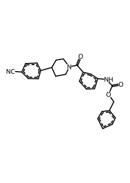 N#Cc1ccc(C2CCN(C(=O)c3cccc(NC(=O)OCc4ccccc4)c3)CC2)cc1